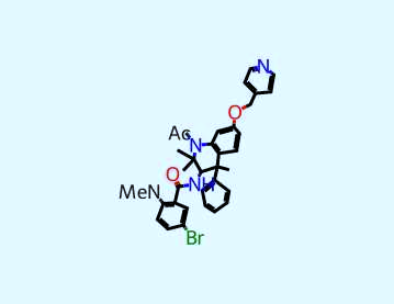 CNc1ccc(Br)cc1C(=O)NC1C(C)(c2ccccc2)c2ccc(OCc3ccncc3)cc2N(C(C)=O)C1(C)C